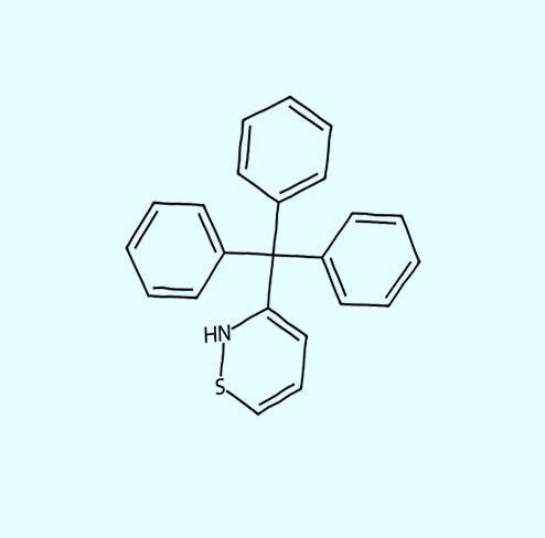 C1=CSNC(C(c2ccccc2)(c2ccccc2)c2ccccc2)=C1